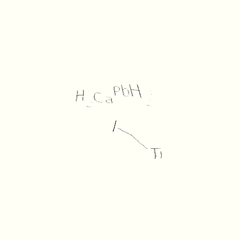 [CaH2].[PbH2].[Ti][I]